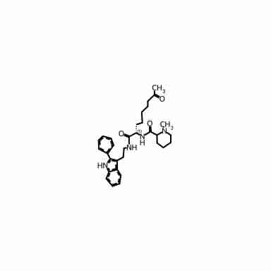 CC(=O)CCCCC[C@H](NC(=O)C1CCCCN1C)C(=O)NCCc1c(-c2ccccc2)[nH]c2ccccc12